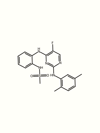 Cc1ccc(C)c(Nc2ncc(F)c(Nc3ccccc3NS(C)(=O)=O)n2)c1